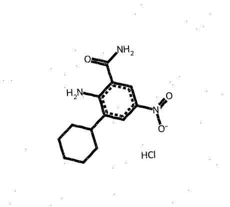 Cl.NC(=O)c1cc([N+](=O)[O-])cc(C2CCCCC2)c1N